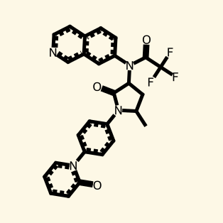 CC1CC(N(C(=O)C(F)(F)F)c2ccc3ccncc3c2)C(=O)N1c1ccc(-n2ccccc2=O)cc1